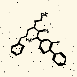 C=C(C(CCC)CCCc1ccccc1)C(C)c1ccc(-c2ccccc2)c(F)c1